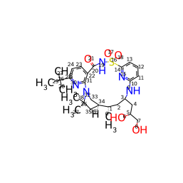 C[C@H]1CC(CC(O)CO)Nc2cccc(n2)S(=O)(=O)NC(=O)c2ccc(C(C)(C)C)nc2N2C[C@@H]1CC2(C)C